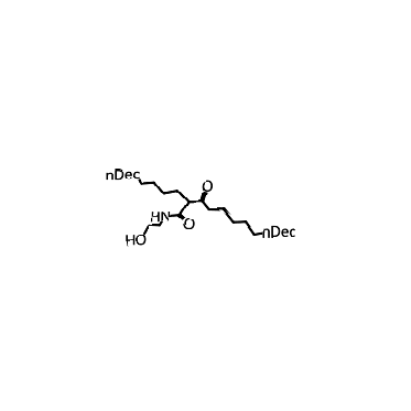 CCCCCCCCCCCCCCCC(=O)C(CCCCCCCCCCCCCC)C(=O)NCCO